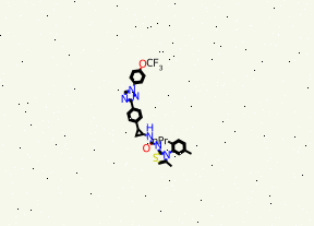 CCCc1ccc(C)cc1-n1c(C)cs/c1=N\C(=O)NC1CC1c1ccc(-c2ncn(-c3ccc(OC(F)(F)F)cc3)n2)cc1